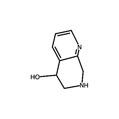 OC1CNCc2ncccc21